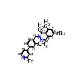 C=C1c2c(C)cc(C(C)(C)C)cc2C=NN1Cc1ccc(-c2ccnc(CC)c2)cc1C